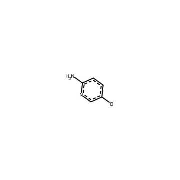 Nc1ccc([O])cn1